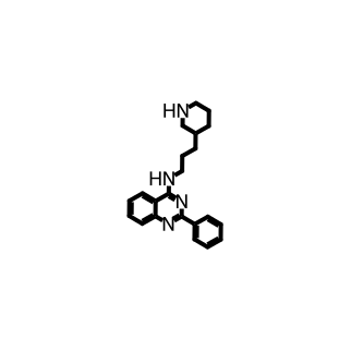 c1ccc(-c2nc(NCCCC3CCCNC3)c3ccccc3n2)cc1